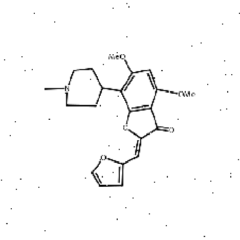 COc1cc(OC)c(C2CCN(C)CC2)c2c1C(=O)/C(=C/c1ccco1)O2